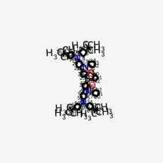 CC(C)(C)c1ccc(N(c2ccc(C(C)(C)C)cc2)c2ccc3c4ccc5c(c4n(-c4ccccc4)c3c2)Oc2cccc3c2B5c2ccc4c5ccc(N(c6ccc(C(C)(C)C)cc6)c6ccc(C(C)(C)C)cc6)cc5n(-c5ccccc5)c4c2O3)cc1